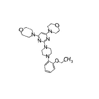 CCOc1ccccc1N1CCN(c2nc(N3CCOCC3)cc(N3CCOCC3)n2)CC1